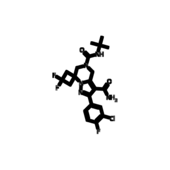 CC(C)(C)NC(=O)N1Cc2c(C(N)=O)c(-c3ccc(F)c(Cl)c3)nn2C2(C1)CC(F)(F)C2